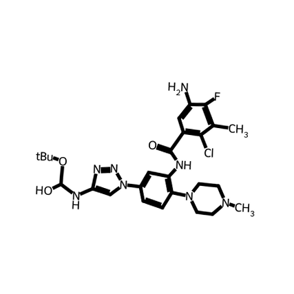 Cc1c(F)c(N)cc(C(=O)Nc2cc(-n3cc(NC(O)OC(C)(C)C)nn3)ccc2N2CCN(C)CC2)c1Cl